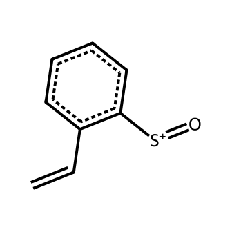 C=Cc1ccccc1[S+]=O